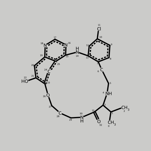 CC(C)C1NCCc2ccc(Cl)cc2Nc2ncnc3cc(O)c(cc23)OCCCNC1=O